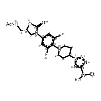 CCN(CC)c1nnn(C2CCN(c3c(F)cc(N4C[C@H](CNC(C)=O)OC4=O)cc3F)CC2)n1